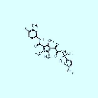 Cc1cc(NC(=O)c2c(C)c(C(=O)C(=O)NC(C)(C)c3ccn(C)n3)c(C)n2C)ccc1F